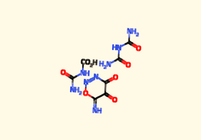 N=C1ON=NC(=O)C1=O.NC(=O)NC(=O)O.NC(=O)NC(N)=O